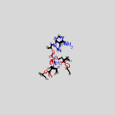 CCOC(=O)C1(CCOP(=O)(COC(C)Cn2cnc3c(N)ncnc32)NC(C)(CC)C(=O)OC(C)C)CC1